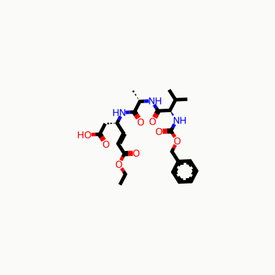 CCOC(=O)/C=C/[C@H](CC(=O)O)NC(=O)[C@H](C)NC(=O)[C@@H](NC(=O)OCc1ccccc1)C(C)C